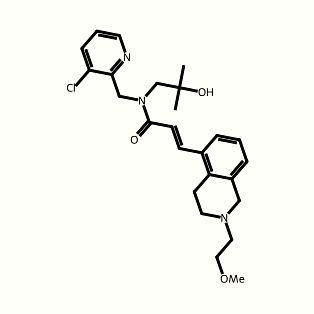 COCCN1CCc2c(/C=C/C(=O)N(Cc3ncccc3Cl)CC(C)(C)O)cccc2C1